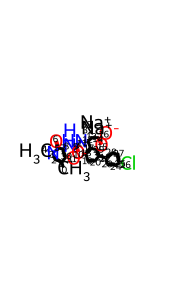 Cc1cn(C)c(=O)c(NC(=O)NC(CC(=O)[O-])c2cccc(-c3ccc(Cl)cc3)c2)c1[O-].[Na+].[Na+]